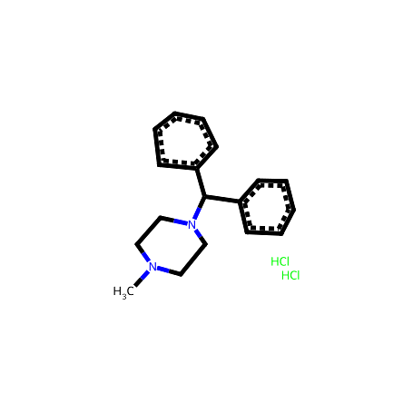 CN1CCN(C(c2ccccc2)c2ccccc2)CC1.Cl.Cl